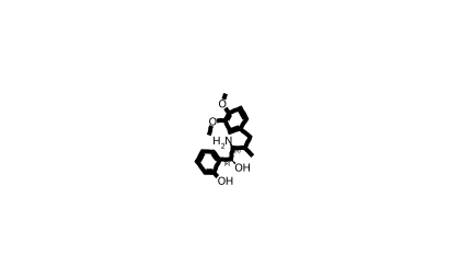 COc1ccc(CC(C)[C@@H](N)[C@H](O)c2ccccc2O)cc1OC